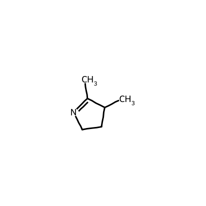 CC1=NCCC1C